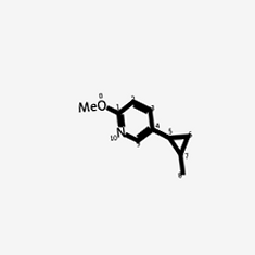 COc1ccc(C2CC2C)cn1